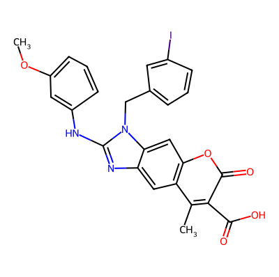 COc1cccc(Nc2nc3cc4c(C)c(C(=O)O)c(=O)oc4cc3n2Cc2cccc(I)c2)c1